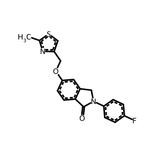 Cc1nc(COc2ccc3c(c2)CN(c2ccc(F)cc2)C3=O)cs1